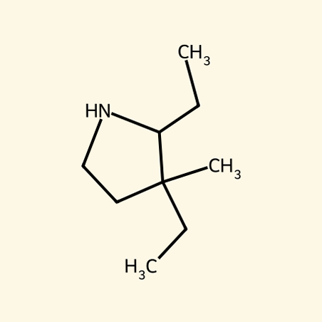 CCC1NCCC1(C)CC